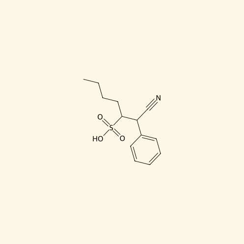 CCCCC(C(C#N)c1ccccc1)S(=O)(=O)O